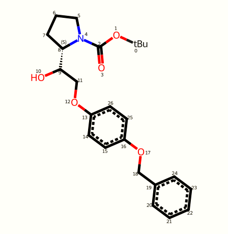 CC(C)(C)OC(=O)N1CCC[C@H]1C(O)COc1ccc(OCc2ccccc2)cc1